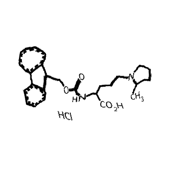 CC1CCCN1CCCC(NC(=O)OCC1c2ccccc2-c2ccccc21)C(=O)O.Cl